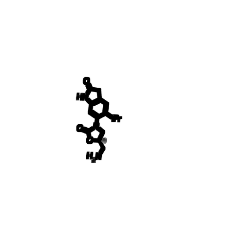 CC(C)c1cc2c(cc1N1C[C@@H](CN)OC1=O)NC(=O)C2